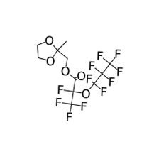 CC1(COC(=O)C(F)(OC(F)(F)C(F)(F)C(F)(F)F)C(F)(F)F)OCCO1